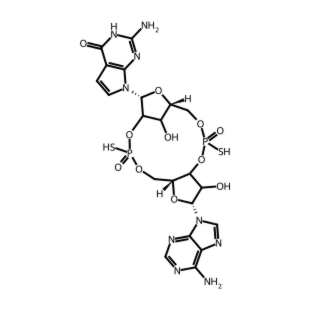 Nc1nc2c(ccn2[C@@H]2O[C@@H]3COP(=O)(S)OC4C(O)[C@H](n5cnc6c(N)ncnc65)O[C@@H]4COP(=O)(S)OC2C3O)c(=O)[nH]1